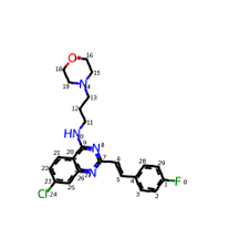 Fc1ccc(C=Cc2nc(NCCCN3CCOCC3)c3ccc(Cl)cc3n2)cc1